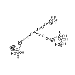 O=C(CCOCCOCCOCCN(CCOCCOCCOCCn1cc(CCC[C@H]2O[C@H](CCP(=O)(O)O)[C@@H](O)[C@H](O)[C@@H]2O)nn1)CCOCCOCCOCCn1cc(CCO[C@H]2O[C@H](CCP(=O)(O)O)[C@@H](O)[C@H](O)[C@@H]2O)nn1)Oc1c(F)c(F)c(F)c(F)c1F